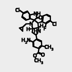 COC(=O)c1cc(N)c(C2C[C@H]3[C@@H](N2)[C@H](c2cccc(Cl)c2F)[C@]2(C(=O)Nc4cc(Cl)ccc42)N3CC2CC2)cc1C